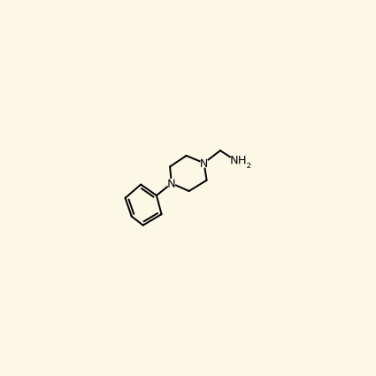 NCN1CCN(c2ccccc2)CC1